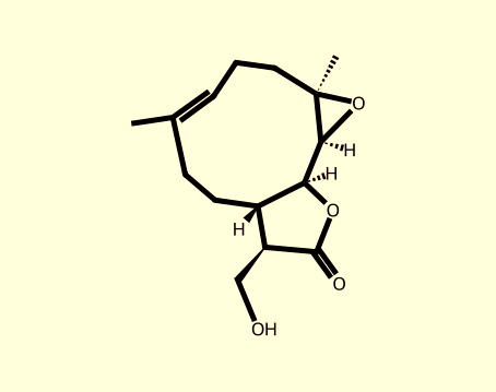 C/C1=C\CC[C@@]2(C)O[C@H]2[C@H]2OC(=O)[C@@H](CO)[C@@H]2CC1